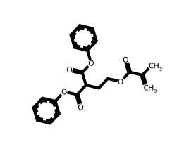 C=C(C)C(=O)OCCC(C(=O)Oc1ccccc1)C(=O)Oc1ccccc1